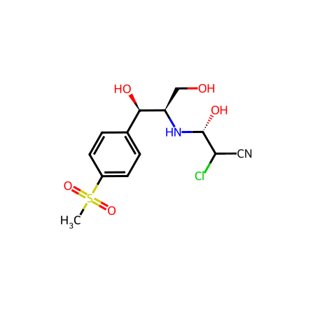 CS(=O)(=O)c1ccc([C@@H](O)[C@@H](CO)N[C@H](O)C(Cl)C#N)cc1